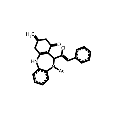 C=C1CC(=O)C2=C(C1)Nc1ccccc1N(C(C)=O)C2/C(Cl)=C/c1ccccc1